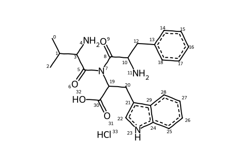 CC(C)C(N)C(=O)N(C(=O)C(N)Cc1ccccc1)C(Cc1c[nH]c2ccccc12)C(=O)O.Cl